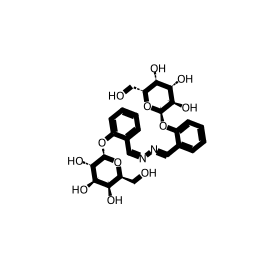 OC[C@@H]1O[C@@H](Oc2ccccc2C=NN=Cc2ccccc2O[C@H]2O[C@H](CO)[C@H](O)[C@H](O)[C@H]2O)[C@@H](O)[C@H](O)[C@@H]1O